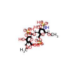 COC[C@@H]1C(C(=O)O)O[C@@H](COC[C@@H]2C(COS(=O)(=O)O)O[C@H](COC)C(NS(=O)(=O)O)[C@@H]2O)C(OS(=O)(=O)O)[C@@H]1O